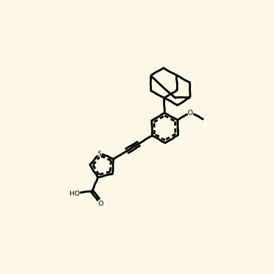 COc1ccc(C#Cc2cc(C(=O)O)cs2)cc1C12CC3CC(CC(C3)C1)C2